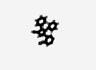 O=c1on(-c2ccccc2Cl)c(-c2ccccc2)c1-c1ccccc1